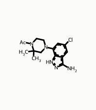 CC(=O)N1CCN(c2cc(Cl)cc3c(N)n[nH]c23)CC1(C)C